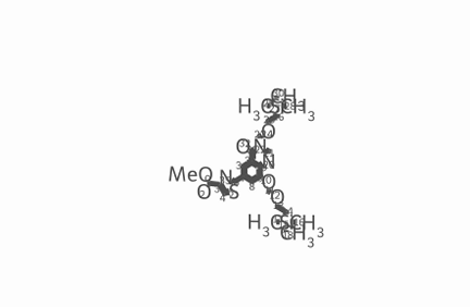 COC(=O)c1csc(-c2cc(OCOCC[Si](C)(C)C)c3ncn(COCC[Si](C)(C)C)c(=O)c3c2)n1